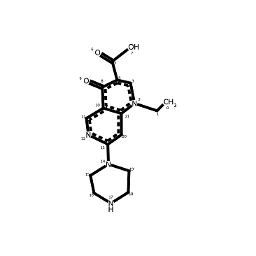 CCn1cc(C(=O)O)c(=O)c2cnc(N3CCNCC3)cc21